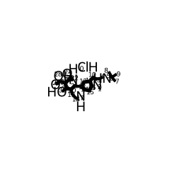 Cl.Cn1c(CNC(C)(C)C)cc2cc3c(cc21)NCCc1c-3[nH]c(=O)c(C(=O)O)c1O